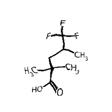 CC(CC(C)(C)C(=O)O)C(F)(F)F